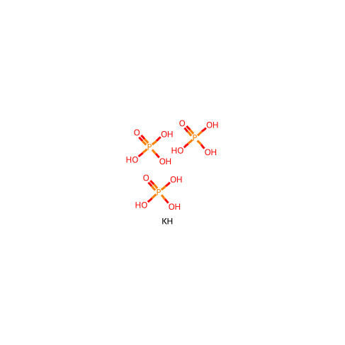 O=P(O)(O)O.O=P(O)(O)O.O=P(O)(O)O.[KH]